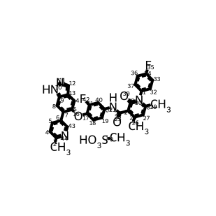 CS(=O)(=O)O.Cc1ccc(-c2cc3[nH]ncc3cc2Oc2ccc(NC(=O)c3c(C)cc(C)n(-c4ccc(F)cc4)c3=O)cc2F)cn1